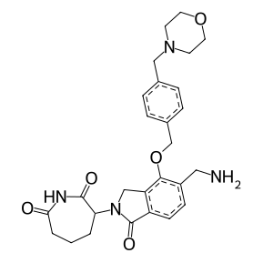 NCc1ccc2c(c1OCc1ccc(CN3CCOCC3)cc1)CN(C1CCCC(=O)NC1=O)C2=O